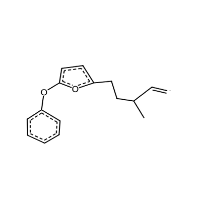 [CH]=CC(C)CCc1ccc(Oc2ccccc2)o1